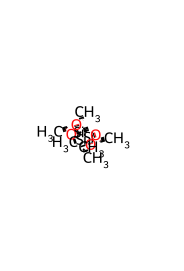 CCO[Si]1(OCC)C[Si](OCC)(OCC)[Si]1(C)C